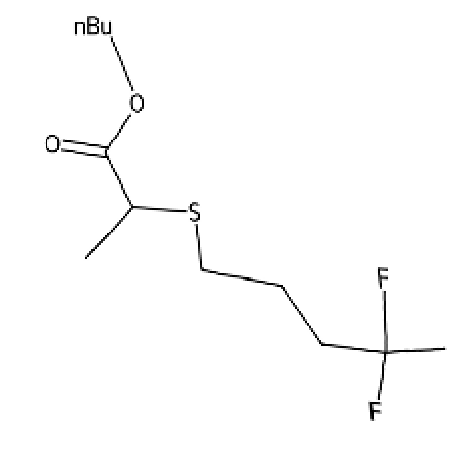 CCCCOC(=O)C(C)SCCCC(C)(F)F